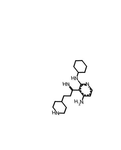 N=C(CCC1CCNCC1)c1c(N)ccnc1NC1CCCCC1